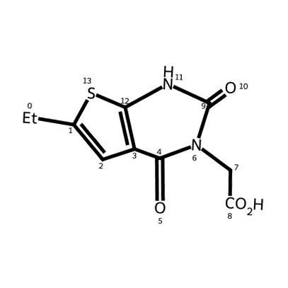 CCc1cc2c(=O)n(CC(=O)O)c(=O)[nH]c2s1